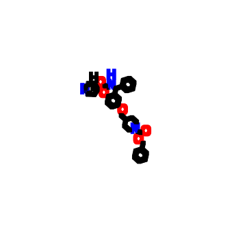 O=C(NC(c1ccccc1)c1cccc(OCC2CCN(C(=O)OCc3ccccc3)CC2)c1)O[C@H]1CN2CCC1CC2